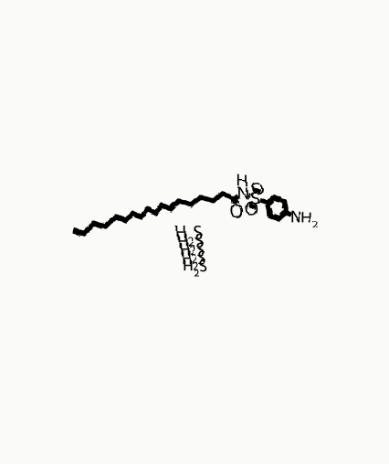 CCCCCCCCCCCCCCCCCC(=O)NS(=O)(=O)c1ccc(N)cc1.S.S.S.S.S